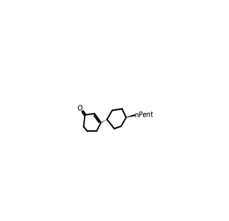 CCCCC[C@H]1CC[C@H](C2=CC(=O)CCC2)CC1